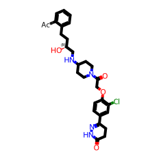 CC(=O)c1ccccc1CC[C@@H](O)CNC1CCN(C(=O)COc2ccc(C3=NNC(=O)CC3)cc2Cl)CC1